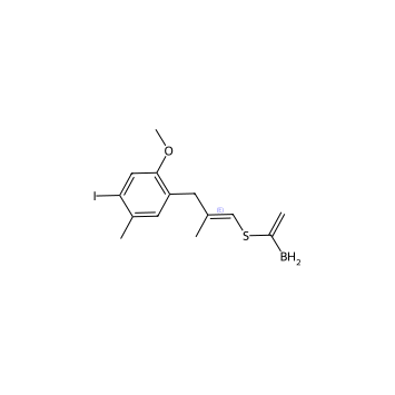 BC(=C)S/C=C(\C)Cc1cc(C)c(I)cc1OC